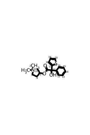 C[N+]1(C)CCC(OC(=O)C(O)(c2ccccc2)c2cccs2)C1